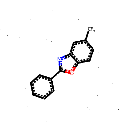 FC(F)(F)c1ccc2oc(-c3ccccc3)nc2c1